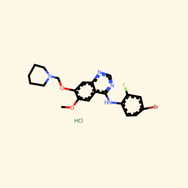 COc1cc2c(Nc3ccc(Br)cc3F)ncnc2cc1OCN1CCCCC1.Cl